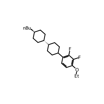 CCCC[C@H]1CC[C@H](C2CCC(c3ccc(OCC)c(F)c3F)CC2)CC1